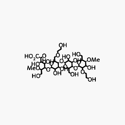 COC(CO)C(O[C@H]1OC(COCCO)[C@H](O[C@H]2OC(CO)[C@H](O[C@H]3OC(CO)[C@H](OC)C(O)C3OCCO)C(O)C2O)C(O)C1O)C(O)C(O)[C@H](O)C(=O)O